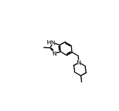 Cc1nc2cc(CN3CCC(C)CC3)ccc2[nH]1